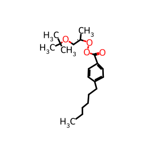 CCCCCCc1ccc(C(=O)OO[C](C)COC(C)(C)C)cc1